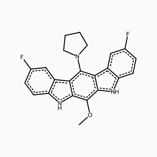 COc1c2[nH]c3ccc(F)cc3c2c(N2CCCC2)c2c1[nH]c1ccc(F)cc12